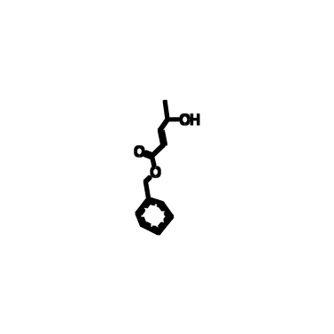 CC(O)/C=C/C(=O)OCc1ccccc1